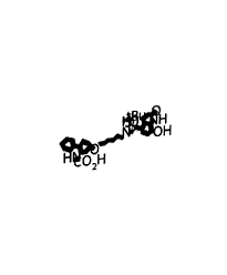 CC(C)(C)[Si](C)(C)O[C@H](CNCCCCCCOc1ccc(-c2ccccc2)c(NC(=O)O)c1)c1ccc(O)c2[nH]c(=O)ccc12